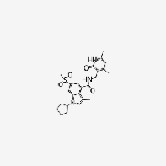 Cc1cc(C)c(CNC(=O)c2cc(S(C)(=O)=O)cc3c2c(C)cn3C2CCCC2)c(=O)[nH]1